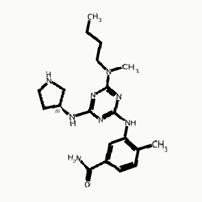 CCCCN(C)c1nc(Nc2cc(C(N)=O)ccc2C)nc(N[C@H]2CCNC2)n1